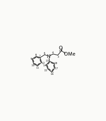 COC(=O)CCN(Cc1ccccc1)c1cc[c]cc1